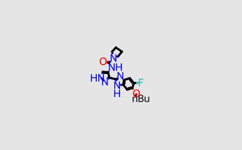 CCCCOc1cc2[nH]c(-c3n[nH]cc3NC(=O)N3CCCC3)nc2cc1F